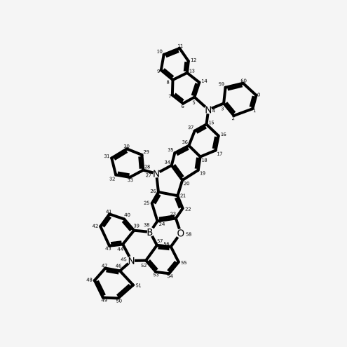 c1ccc(N(c2ccc3ccccc3c2)c2ccc3cc4c5cc6c(cc5n(-c5ccccc5)c4cc3c2)B2c3ccccc3N(c3ccccc3)c3cccc(c32)O6)cc1